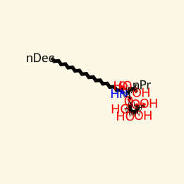 CCCCCCCCCCCCCCCCCCCCCCCCCCCCCC(=O)N[C@@H](CO[C@H]1O[C@H](CO)[C@H](O)[C@H](O)[C@H]1O)[C@H](O)[C@H](O)CCC